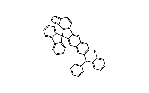 Fc1ccccc1N(c1ccccc1)c1ccc2cc3c(cc2c1)C1(c2ccccc2-c2ccccc21)c1c-3ccc2ccccc12